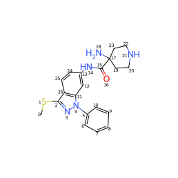 CSc1nn(-c2ccccc2)c2cc(NC(=O)C3(N)CCNCC3)ccc12